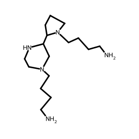 NCCCCN1CCNC(C2CCCN2CCCCN)C1